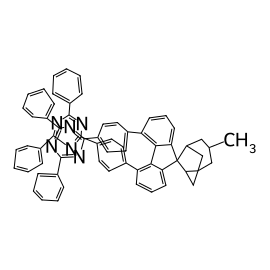 CC1CC2CC3(C1)CC3C21c2cccc(-c3ccc(-c4nc(-c5ccccc5)nc(-c5ccccc5)n4)cc3)c2-c2c(-c3ccc(-c4nc(-c5ccccc5)nc(-c5ccccc5)n4)cc3)cccc21